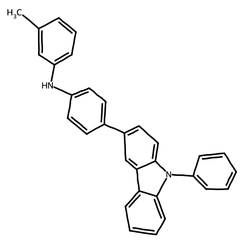 Cc1cccc(Nc2ccc(-c3ccc4c(c3)c3ccccc3n4-c3ccccc3)cc2)c1